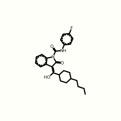 CCCCC1CCC(C(O)=C2C(=O)N(C(=O)Nc3ccc(F)cc3)c3ccccc32)CC1